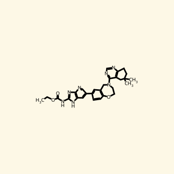 CCOC(=O)Nc1nc2ncc(-c3ccc4c(c3)CN(c3ncnc5c3CC(C)(C)CC5)CCO4)cc2[nH]1